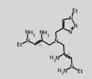 CCN(N)/C=C(\N)CN(C/C(N)=C/N(N)CC)Cc1cn(CC)nn1